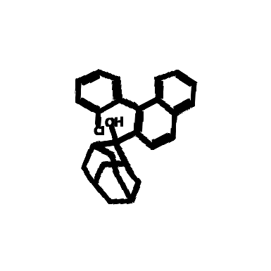 OC1(c2ccc3ccccc3c2-c2ccccc2Cl)C2CC3CC(C2)CC1C3